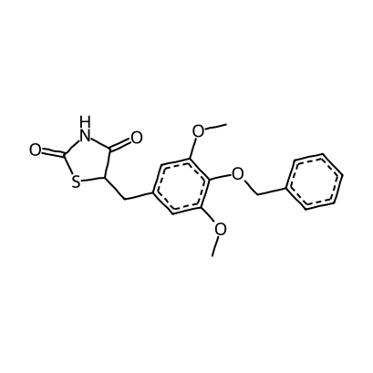 COc1cc(CC2SC(=O)NC2=O)cc(OC)c1OCc1ccccc1